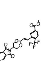 COC(=O)c1ccc(C(F)(F)F)c(/C=C/C2OCC(N3C(=O)c4ccccc4C3=O)CO2)c1